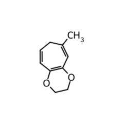 CC1=CC2=C(C=CC1)OCCO2